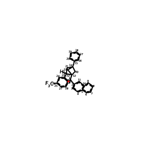 O=C(c1ccc2ccccc2c1)C12CC(c3ccccc3)(C[C@H]1c1cc(C(F)(F)F)ccn1)C2